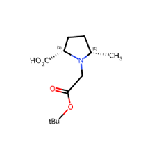 C[C@H]1CC[C@@H](C(=O)O)N1CC(=O)OC(C)(C)C